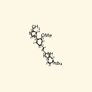 COc1cc(/C=C/c2nc3ccc(C(C)(C)C)cc3[nH]2)ccc1-n1cnc(C)c1